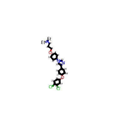 CCN(CC)CCCOc1ccc(-n2cnc(-c3ccc(Oc4ccc(Cl)c(Cl)c4)cc3)c2)cc1